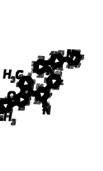 Cc1ccc2c(c1)-c1c(ccc3c1oc1ccc(C)cc13)C2c1cc(C#N)cc(-c2cccc(-n3c4ccccc4c4ccc(-c5ccccn5)cc43)c2)c1